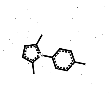 Cc1ccc(C)n1-c1ccc(I)cc1